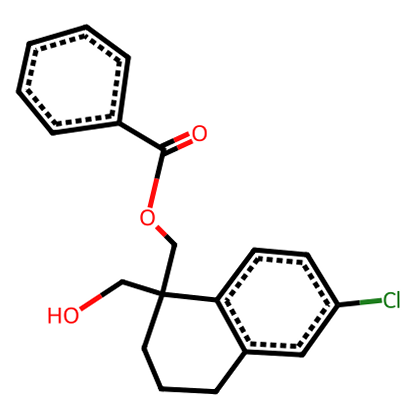 O=C(OCC1(CO)CCCc2cc(Cl)ccc21)c1ccccc1